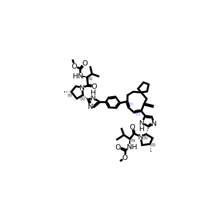 C=C1CC2(CCCC2)CC/C(c2ccc(-c3cnc([C@@H]4C[C@H](C)CN4C(=O)[C@@H](NC(=O)OC)C(C)C)[nH]3)cc2)=C\C=C/1c1cnc([C@@H]2C[C@H](C)CN2C(=O)[C@@H](NC(=O)OC)C(C)C)[nH]1